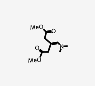 COC(=O)CC(=CN(C)C)CC(=O)OC